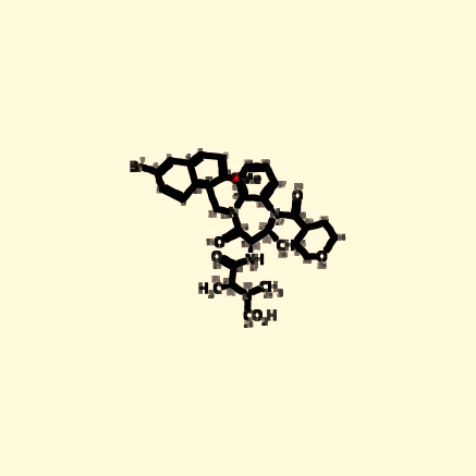 COc1ccc2cc(Br)ccc2c1CN1C(=O)[C@@H](NC(=O)[C@H](C)N(C)C(=O)O)[C@H](C)N(C(=O)C2CCOCC2)c2ccccc21